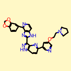 c1cc2[nH]c(-c3n[nH]c4ccc(-c5cncc(OCCN6CCCC6)c5)nc34)nc2c(-c2ccc3c(c2)OCO3)n1